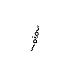 CCCCCC[C@H]1CC[C@H](C(=O)O[C@H]2CC[C@H](C=CC#N)CC2)CC1